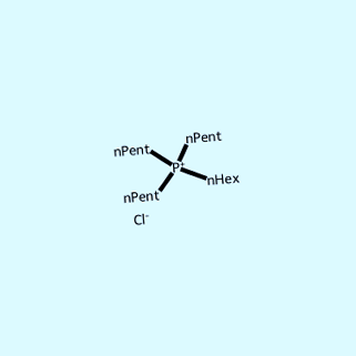 CCCCCC[P+](CCCCC)(CCCCC)CCCCC.[Cl-]